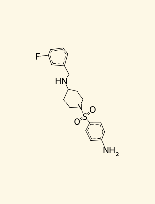 Nc1ccc(S(=O)(=O)N2CCC(NCc3cccc(F)c3)CC2)cc1